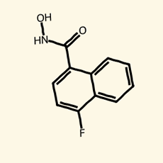 O=C(NO)c1ccc(F)c2ccccc12